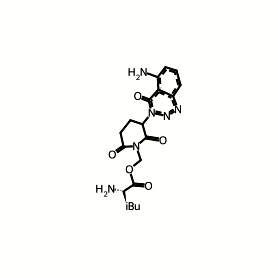 CC[C@H](C)[C@H](N)C(=O)OCN1C(=O)CCC(n2nnc3cccc(N)c3c2=O)C1=O